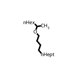 CCCCCCCCCCCOC(C)CCCCCC